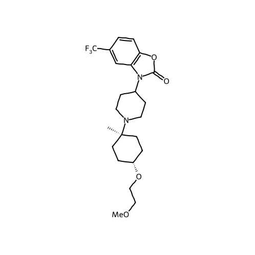 COCCO[C@H]1CC[C@](C)(N2CCC(n3c(=O)oc4ccc(C(F)(F)F)cc43)CC2)CC1